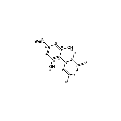 C=C(C)C(C)C(C=C(C)C)c1c(O)cc(CCCCC)cc1O